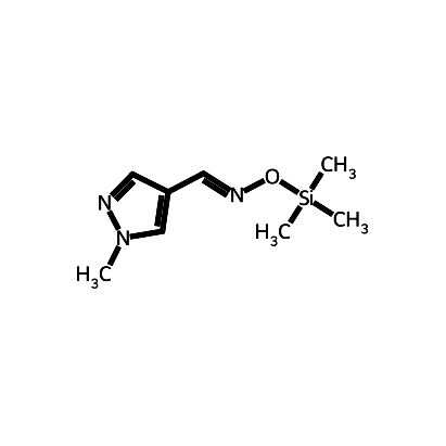 Cn1cc(/C=N/O[Si](C)(C)C)cn1